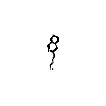 OCCCCc1cc2ccccc2cn1